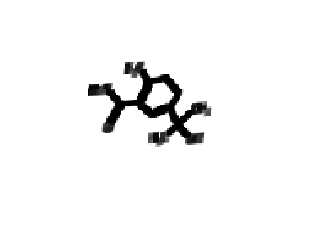 CNC(=O)C1=C(C)CCC(C(C)(C)O)=C1